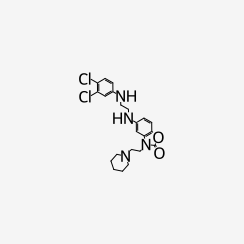 O=c1oc2ccc(NCCNc3ccc(Cl)c(Cl)c3)cc2n1CCN1CCCCC1